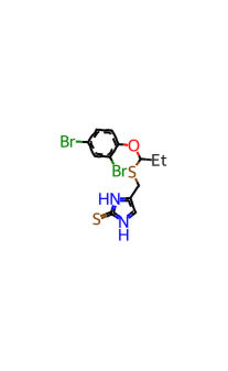 CCC(Oc1ccc(Br)cc1Br)SCc1c[nH]c(=S)[nH]1